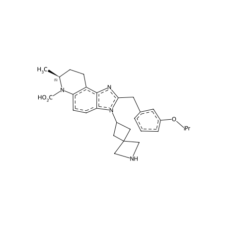 CC(C)Oc1cccc(Cc2nc3c4c(ccc3n2C2CC3(CNC3)C2)N(C(=O)O)[C@@H](C)CC4)c1